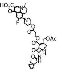 CC(=O)OCC1=C(C(=O)OCCC(=O)OC2CCN(c3c(F)cc4c(=O)c(C(=O)O)cn5c4c3CCC5C)CC2)C2C(=O)[C@@H](NC(=O)Cc3cccs3)[C@H]2SC1